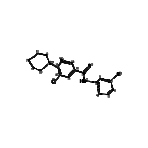 O=C(Nc1cccc(Cl)c1)c1cnc(N2CCCCC2)c(Cl)c1